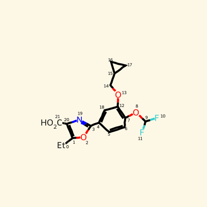 CCc1oc(-c2ccc(OC(F)F)c(OCC3CC3)c2)nc1C(=O)O